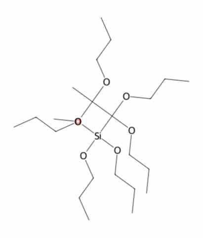 CCCOC(C)(OC)C(OCCC)(OCCC)[Si](OCCC)(OCCC)OCCC